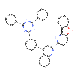 c1ccc(-c2nc(-c3ccccc3)nc(-c3cccc(-c4cc(-c5ccc6oc7ccccc7c6n5)nc5ccccc45)c3)n2)cc1